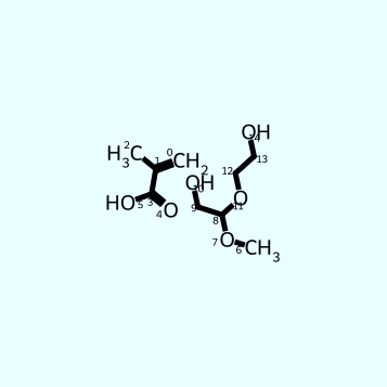 C=C(C)C(=O)O.COC(CO)OCCO